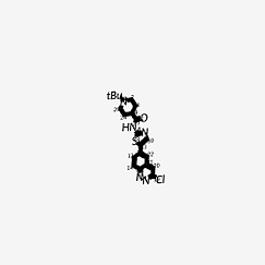 CC(C)(C)N1CCC(C(=O)Nc2ncc(-c3ccc4nnc(Cl)cc4c3)s2)CC1